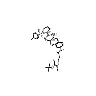 Cc1ccc(S(=O)(=O)N2CCC[C@H]2C(=O)N[C@@H](Cc2ccc(NC(=O)CCCN(C)C(=O)OC(C)(C)C)cc2)C(=O)O)cc1